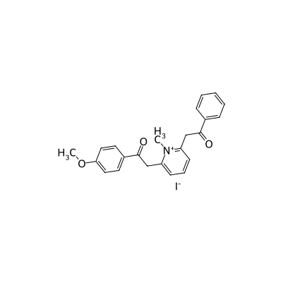 COc1ccc(C(=O)Cc2cccc(CC(=O)c3ccccc3)[n+]2C)cc1.[I-]